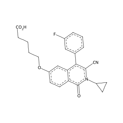 N#Cc1c(-c2cccc(F)c2)c2cc(OCCCCC(=O)O)ccc2c(=O)n1C1CC1